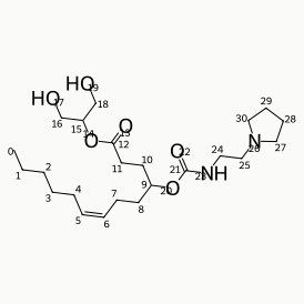 CCCCC/C=C\CCC(CCC(=O)OC(CO)CO)OC(=O)NCCN1CCCC1